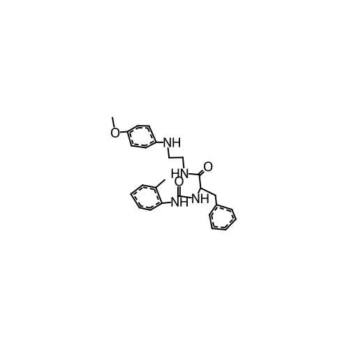 COc1ccc(NCCNC(=O)C(Cc2ccccc2)NC(=O)Nc2ccccc2C)cc1